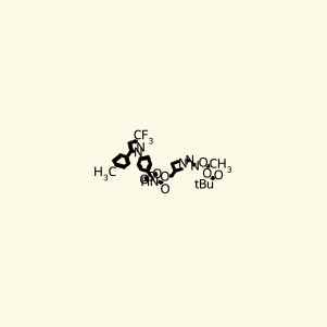 Cc1ccc(-c2cc(C(F)(F)F)nn2-c2ccc(S(=O)(=O)NC(=O)OCC3CCN(N=NOC(C)OC(=O)C(C)(C)C)C3)cc2)cc1